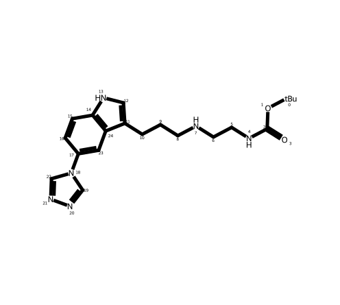 CC(C)(C)OC(=O)NCCNCCCc1c[nH]c2ccc(-n3cnnc3)cc12